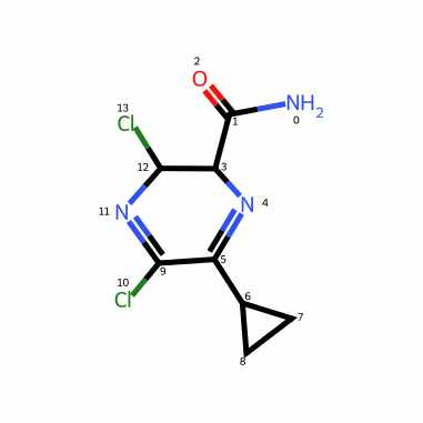 NC(=O)C1N=C(C2CC2)C(Cl)=NC1Cl